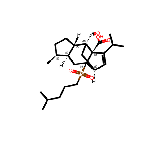 CC(C)CCCS(=O)(=O)[C@]12C[C@H]3[C@@H](C)CC[C@@H]3[C@]3(C=O)C[C@H]1C=C(C(C)C)[C@@]32C(=O)O